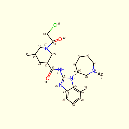 CC(=O)N1CCCC[C@@H](n2c(NC(=O)C3CC(C)CN(C(=O)CCl)C3)nc3cccc(C)c32)C1